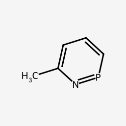 Cc1cccpn1